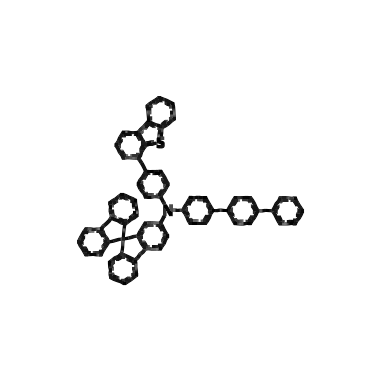 c1ccc(-c2ccc(-c3ccc(N(c4ccc(-c5cccc6c5sc5ccccc56)cc4)c4ccc5c(c4)C4(c6ccccc6-c6ccccc64)c4ccccc4-5)cc3)cc2)cc1